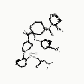 CN(C)CC(=O)Nc1ccccc1N1CCN(C(=O)C2(Oc3ccc(C(F)(F)F)cc3)CCCN(C(=O)c3cnccc3C(F)(F)F)C2)CC1